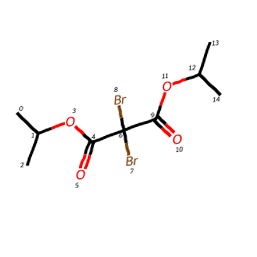 CC(C)OC(=O)C(Br)(Br)C(=O)OC(C)C